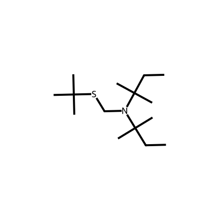 CCC(C)(C)N(CSC(C)(C)C)C(C)(C)CC